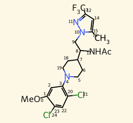 COc1cc(N2CCC(C(Cn3nc(C(F)(F)F)cc3C)NC(C)=O)CC2)c(Cl)cc1Cl